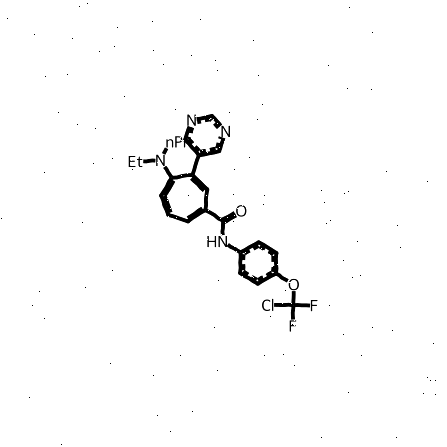 CCCN(CC)C1=C=CC=C(C(=O)Nc2ccc(OC(F)(F)Cl)cc2)C=C1c1cncnc1